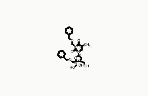 Cc1cn([C@H]2C[C@@](O)(CO)[C@@](CO)(COCc3ccccc3)O2)c(=O)n(COCc2ccccc2)c1=O